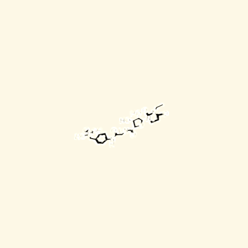 CCn1c(=O)ccn([C@@H]2O[C@H](C(=O)NCC(=O)Nc3ccc(CP(=O)(O)O)cc3)[C@H](O)[C@@H]2O)c1=O